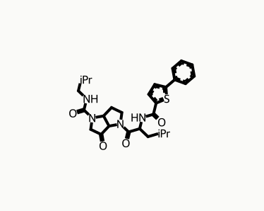 CC(C)CNC(=O)N1CC(=O)C2C1CCN2C(=O)C(CC(C)C)NC(=O)c1ccc(-c2ccccc2)s1